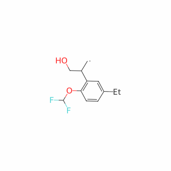 [CH2]C(CO)c1cc(CC)ccc1OC(F)F